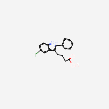 O=C(O)CCCc1c(-c2ccccc2)[nH]c2ccc(Cl)cc12